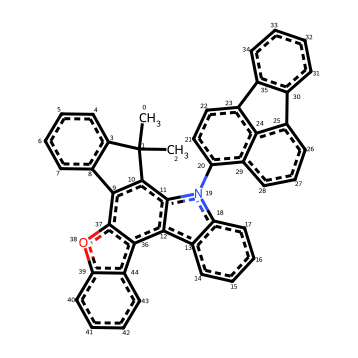 CC1(C)c2ccccc2-c2c1c1c(c3ccccc3n1-c1ccc3c4c(cccc14)-c1ccccc1-3)c1c2oc2ccccc21